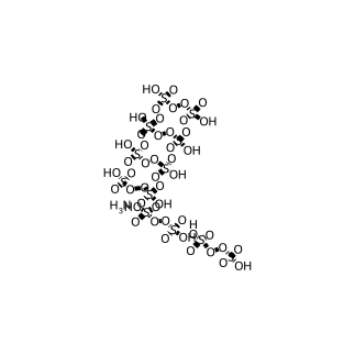 N.O=S(=O)(O)OOS(=O)(=O)O.O=S(=O)(O)OOS(=O)(=O)O.O=S(=O)(O)OOS(=O)(=O)O.O=S(=O)(O)OOS(=O)(=O)O.O=S(=O)(O)OOS(=O)(=O)O.O=S(=O)(O)OOS(=O)(=O)O